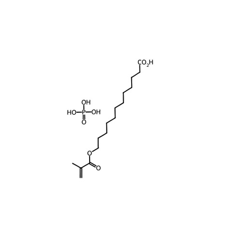 C=C(C)C(=O)OCCCCCCCCCCCC(=O)O.O=P(O)(O)O